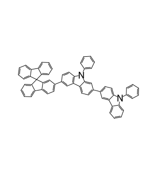 c1ccc(-n2c3ccccc3c3cc(-c4ccc5c6cc(-c7ccc8c(c7)C7(c9ccccc9-c9ccccc97)c7ccccc7-8)ccc6n(-c6ccccc6)c5c4)ccc32)cc1